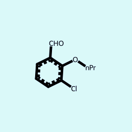 CCCOc1c(Cl)cccc1C=O